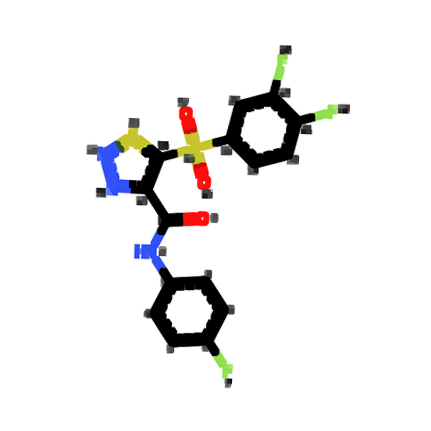 O=C(Nc1ccc(F)cc1)c1nnsc1S(=O)(=O)c1ccc(F)c(F)c1